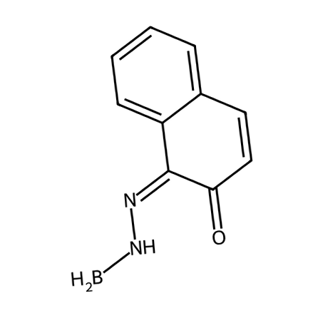 BN/N=C1\C(=O)C=Cc2ccccc21